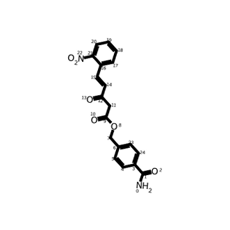 NC(=O)c1ccc(COC(=O)CC(=O)C=Cc2ccccc2[N+](=O)[O-])cc1